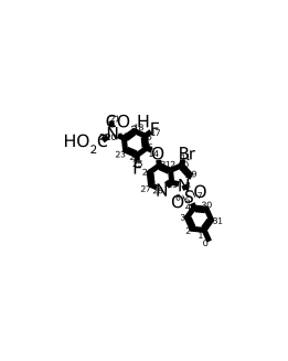 Cc1ccc(S(=O)(=O)n2cc(Br)c3c(Oc4c(F)cc(N(C(=O)O)C(=O)O)cc4F)ccnc32)cc1